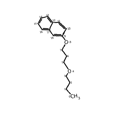 CCCCOCCCOc1ccc2ccccc2c1